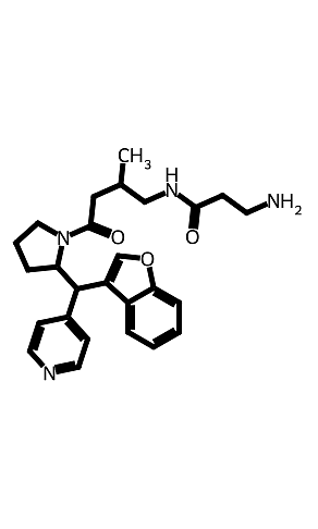 CC(CNC(=O)CCN)CC(=O)N1CCCC1C(c1ccncc1)c1coc2ccccc12